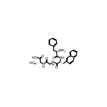 N[C@H](Cc1ccccc1)C(=O)N[C@H](Cc1ccc2ccccc2c1)C(=O)NCC(=O)N[C@H](CO)C(=O)O